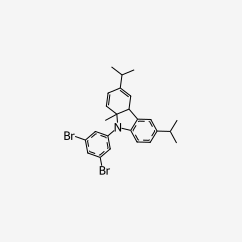 CC(C)C1=CC2c3cc(C(C)C)ccc3N(c3cc(Br)cc(Br)c3)C2(C)C=C1